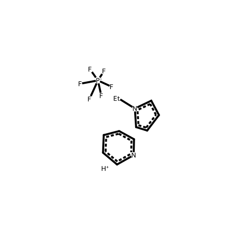 CCn1cccc1.F[P-](F)(F)(F)(F)F.[H+].c1ccncc1